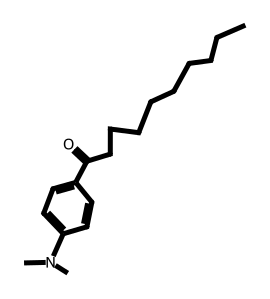 CCCCCCCCCC(=O)c1ccc(N(C)C)cc1